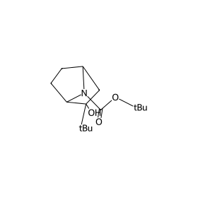 CC(C)(C)OC(=O)N1C2CCC1C(O)(C(C)(C)C)C2